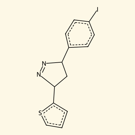 Ic1ccc(C2CC(c3cccs3)N=N2)cc1